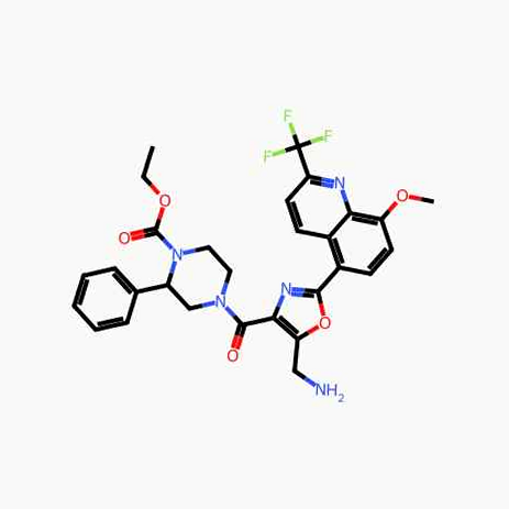 CCOC(=O)N1CCN(C(=O)c2nc(-c3ccc(OC)c4nc(C(F)(F)F)ccc34)oc2CN)CC1c1ccccc1